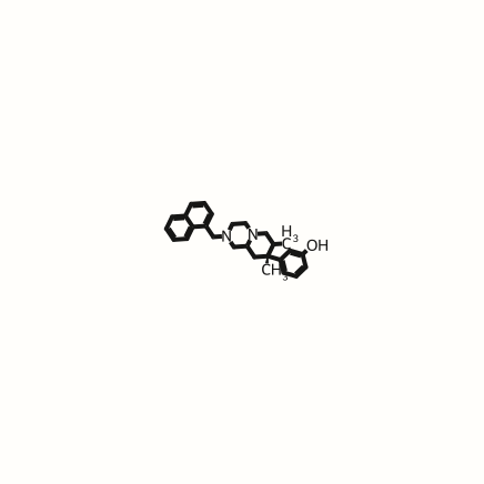 CC1CN2CCN(Cc3cccc4ccccc34)CC2C[C@@]1(C)c1cccc(O)c1